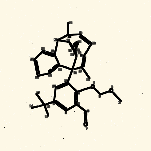 COCOc1c(C=O)cc(C(C)(C)C)cc1C12/C(C)=C/C=C\C(C)C(c3ccccc31)C1C=CC=CC12